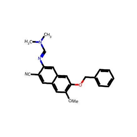 COc1cc2cc(C#N)c(N=CN(C)C)cc2cc1OCc1ccccc1